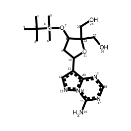 CC(C)(C)[Si](C)(C)OC1CC(c2cnn3c(N)ncnc23)OC1(CO)CO